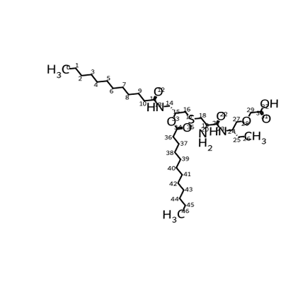 CCCCCCCCCCCC(=O)NC[C@H](CSC[C@H](N)C(=O)N[C@@H](CC)COCC(=O)O)OC(=O)CCCCCCCCCCC